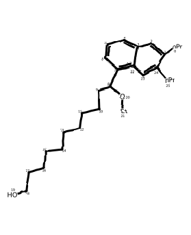 CCCc1cc2cccc(C(CCCCCCCCCCO)OCC)c2cc1CCC